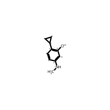 CNc1ccc(C2CC2)c(Cl)c1